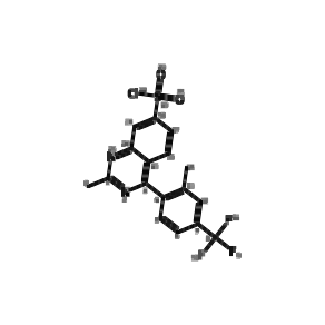 Cc1nc(-c2ccc(C(F)(F)F)cc2C)c2ccc(S(=O)(=O)Cl)cc2n1